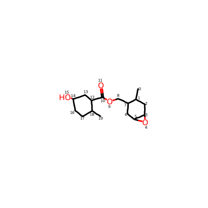 CC1CC2OC2CC1COC(=O)C1CC(O)CCC1C